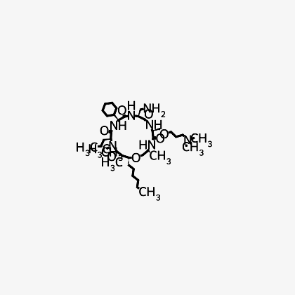 CCCCCC[C@H]1OC[C@@H](C)NC(=O)[C@H](COCCCN(C)C)NC(=O)[C@H](CN)NC(=O)[C@H](C2CCCCC2)NC(=O)[C@H](CC(C)C)N(C)C(=O)[C@@H]1C